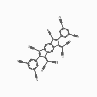 N#CC(C#N)=C1C(c2cc(C#N)cc(C#N)c2)=C(C#N)c2cc3c(cc21)C(=C(C#N)C#N)C(c1cc(C#N)cc(C#N)c1)=C3C#N